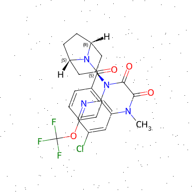 Cn1c(=O)c(=O)n([C@@H]2C[C@H]3CC[C@@H](C2)N3C(=O)c2ccc(OC(F)(F)F)cc2)c2ncc(Cl)cc21